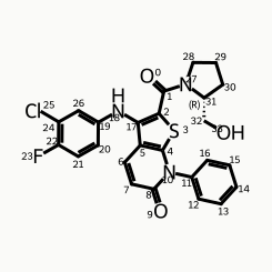 O=C(c1sc2c(ccc(=O)n2-c2ccccc2)c1Nc1ccc(F)c(Cl)c1)N1CCC[C@@H]1CO